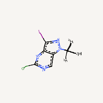 [2H]C([2H])([2H])n1nc(I)c2nc(Cl)ncc21